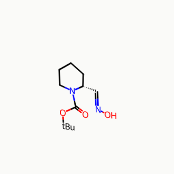 CC(C)(C)OC(=O)N1CCCC[C@@H]1C=NO